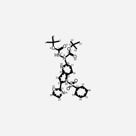 CC(C)(C)OC(=O)NN(C(=O)OC(C)(C)C)c1ccc2c(cc(-c3ncco3)n2S(=O)(=O)c2ccccc2)n1